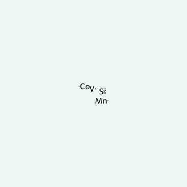 [Co].[Mn].[Si].[V]